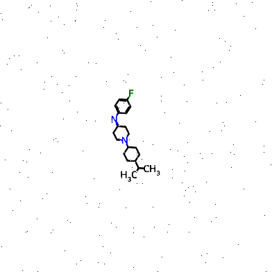 CC(C)C1CCC(N2CCC(=Nc3ccc(F)cc3)CC2)CC1